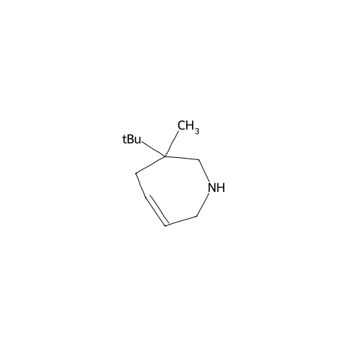 CC(C)(C)C1(C)CC=CCNC1